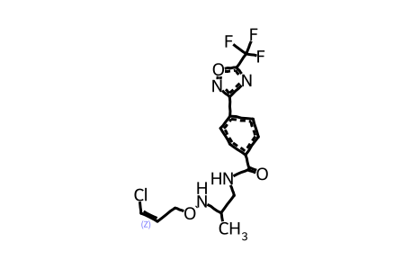 CC(CNC(=O)c1ccc(-c2noc(C(F)(F)F)n2)cc1)NOC/C=C\Cl